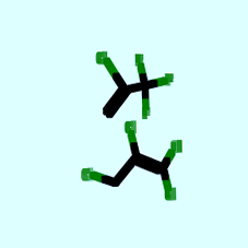 C=C(Cl)C(F)(F)F.ClCC(Cl)=C(Cl)Cl